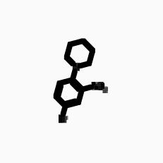 O=[N+]([O-])c1cc(Br)ccc1N1CCCCC1